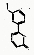 CSc1cccc(-c2cccc(=O)[nH]2)c1